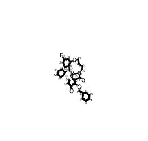 O=C1c2c(OCc3ccccc3)c(=O)ccn2N2CN1C/C=C/COc1cc(F)ccc1[C@@H]2c1ccccc1